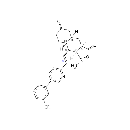 C[C@H]1OC(=O)[C@@H]2C[C@@H]3CC(=O)CC[C@H]3[C@H](/C=C/c3ccc(-c4cccc(C(F)(F)F)c4)cn3)[C@H]12